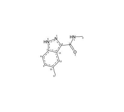 CNC(=O)c1n[nH]c2ccc(C)cc12